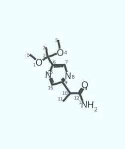 COC(C)(OC)c1cnc(C(C)C(N)=O)cn1